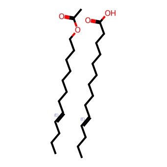 CCC/C=C/CCCCCCCCC(=O)O.CCC/C=C/CCCCCCCOC(C)=O